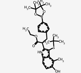 CCOC(=O)C(Cc1ccc(B2OC(C)(C)C(C)(C)O2)cc1)c1[nH]c2ccc(O)c(C)c2c1SC(C)(C)C